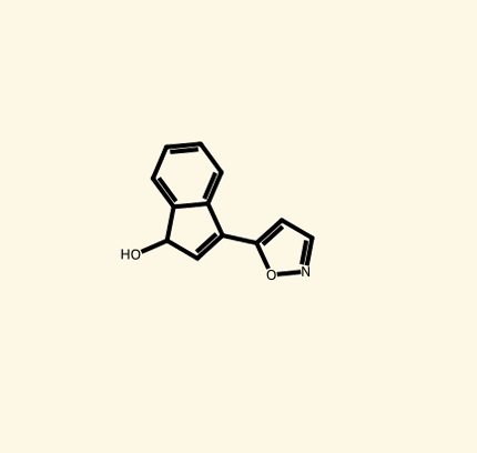 OC1C=C(c2ccno2)c2ccccc21